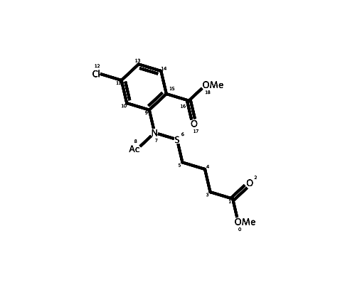 COC(=O)CCCSN(C(C)=O)c1cc(Cl)ccc1C(=O)OC